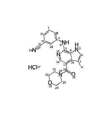 Cc1c[nH]c2c(Nc3cccc(C#N)c3)ncc(C(=O)N3CCOCC3)c12.Cl